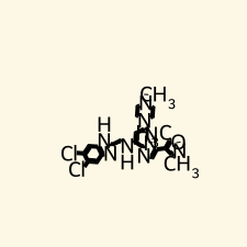 Cc1noc(C)c1-c1cnc2c(NCc3nc4cc(Cl)c(Cl)cc4[nH]3)cc(N3CCN(C)CC3)nn12